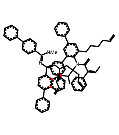 C=C/C=C\C(C)C(CC=C)(CC(N=C(/N=C(\NC)c1ccc(-c2ccccc2)cc1)c1ccc(-c2ccccc2)cc1)c1ccccc1)N(C(=C)/C(=C\C)c1ccccc1)c1c(CCCCC=C)cc(-c2ccccc2)cc1-c1ccccc1